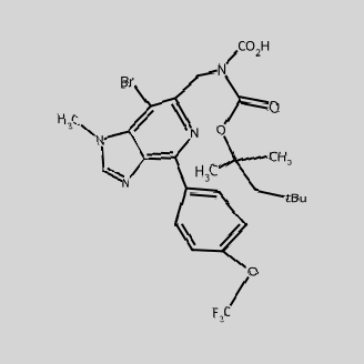 Cn1cnc2c(-c3ccc(OC(F)(F)F)cc3)nc(CN(C(=O)O)C(=O)OC(C)(C)CC(C)(C)C)c(Br)c21